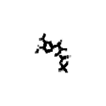 COc1ccc(C(=O)N(C)N(C)C(=O)OC(C)(C)C)cc1OC